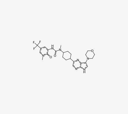 CN(C(=O)Nc1cc(C(F)(F)F)cn(C)c1=O)C1CCC(c2cnc3[nH]cc(N4CCOCC4)c3n2)CC1